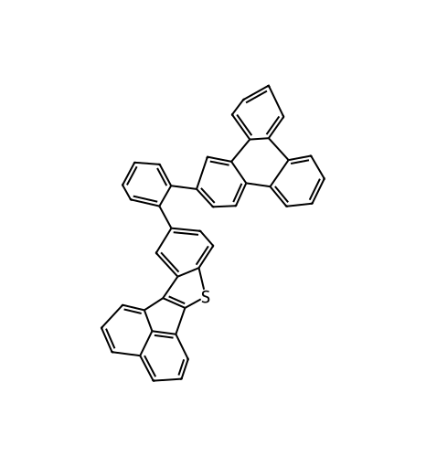 c1ccc(-c2ccc3c4ccccc4c4ccccc4c3c2)c(-c2ccc3sc4c(c3c2)-c2cccc3cccc-4c23)c1